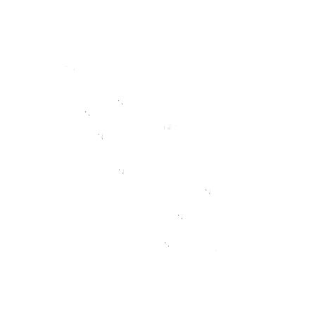 CCCc1c(Cc2ccnn2-c2ncccc2Br)ncn2nc(C(=O)OCC)nc12